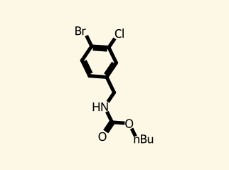 CCCCOC(=O)NCc1ccc(Br)c(Cl)c1